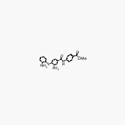 COC(=O)c1ccc(NC(=O)c2ccc(Sc3ccccc3N)c([N+](=O)[O-])c2)cc1